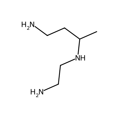 CC(CCN)NCCN